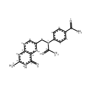 NC(=O)c1ccc(N(Cc2cnc3nc(N)[nH]c(=O)c3n2)C(=O)C(F)(F)F)cc1